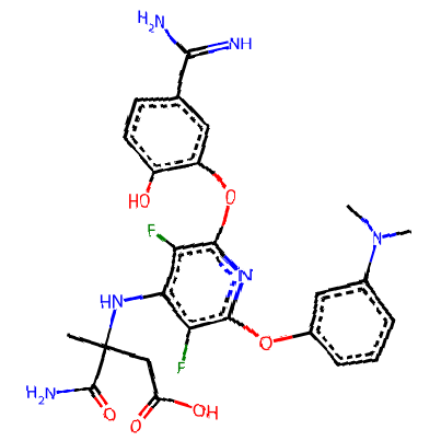 CN(C)c1cccc(Oc2nc(Oc3cc(C(=N)N)ccc3O)c(F)c(NC(C)(CC(=O)O)C(N)=O)c2F)c1